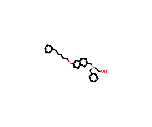 OCCN(Cc1ccccc1)Cc1ccc2cc(OCCCCCc3ccccc3)ccc2c1